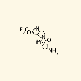 CC(C)[C@]1(C(=O)N2CCc3ncc(OC(F)(F)F)cc3C2)CC[C@@H](N)C1